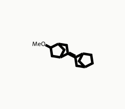 COC1CC2CC1CC2=C1CC2CCC1C2